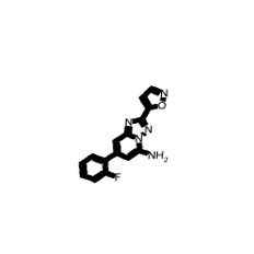 Nc1cc(-c2ccccc2F)cc2nc(-c3ccno3)nn12